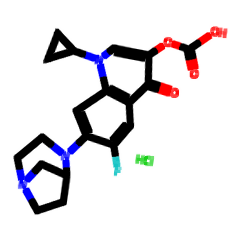 Cl.O=C(O)Oc1cn(C2CC2)c2cc(N3CCN4CCC3C4)c(F)cc2c1=O